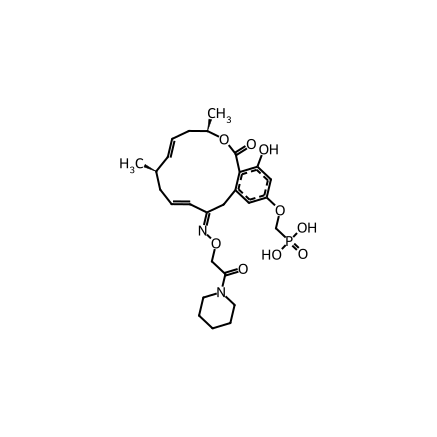 C[C@@H]1C/C=C/[C@H](C)C/C=C/C(=N/OCC(=O)N2CCCCC2)Cc2cc(OCP(=O)(O)O)cc(O)c2C(=O)O1